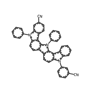 N#Cc1cccc(-n2c3ccccc3c3c2ccc2c4ccc5c(c6ccc(C#N)cc6n5-c5ccccc5)c4n(-c4ccccc4)c23)c1